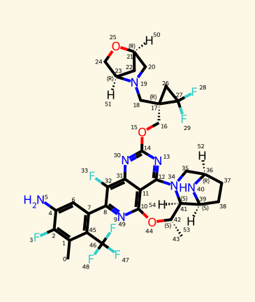 Cc1c(F)c(N)cc(-c2nc3c4c(nc(OC[C@]5(CN6C[C@H]7C[C@@H]6CO7)CC5(F)F)nc4c2F)N2C[C@H]4CC[C@H](N4)[C@H]2[C@H](C)O3)c1C(F)(F)F